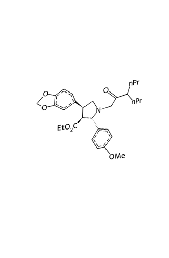 CCCC(CCC)C(=O)CN1C[C@H](c2ccc3c(c2)OCO3)[C@H](C(=O)OCC)[C@H]1c1ccc(OC)cc1